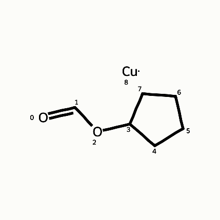 O=COC1CCCC1.[Cu]